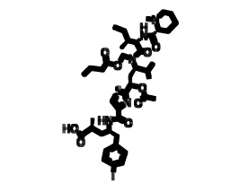 CCCC(=O)OCN(C(=O)[C@@H](NC(=O)[C@H]1CCCCN1C)[C@@H](C)CC)[C@H](C[C@@H](OC(C)=O)c1nc(C(=O)N[C@@H](Cc2ccc(I)cc2)C[C@H](C)C(=O)O)cs1)C(C)C